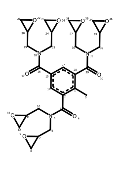 Cc1c(C(=O)N(CC2CO2)CC2CO2)cc(C(=O)N(CC2CO2)CC2CO2)cc1C(=O)N(CC1CO1)CC1CO1